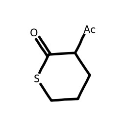 CC(=O)C1CCCSC1=O